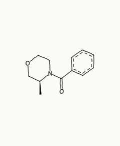 C[C@H]1COCCN1C(=O)c1ccccc1